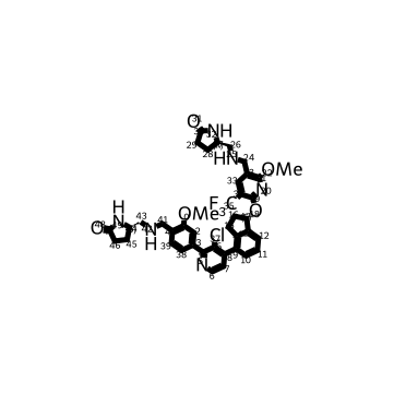 COc1cc(-c2nccc(-c3cccc4c3CC[C@@H]4Oc3nc(OC)c(CNC[C@H]4CCC(=O)N4)cc3C(F)(F)F)c2Cl)ccc1CNC[C@@H]1CCC(=O)N1